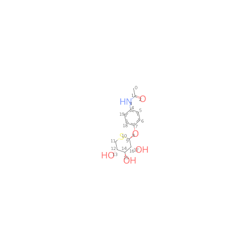 CC(=O)Nc1ccc(O[C@@H]2SC[C@@H](O)[C@H](O)[C@H]2O)cc1